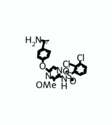 COc1nc(Oc2ccc([C@H](C)N)cc2)cnc1NS(=O)(=O)c1cccc(Cl)c1Cl